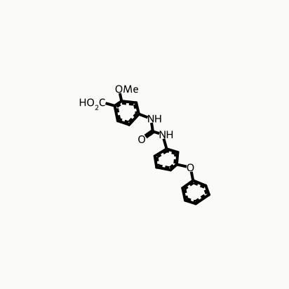 COc1cc(NC(=O)Nc2cccc(Oc3ccccc3)c2)ccc1C(=O)O